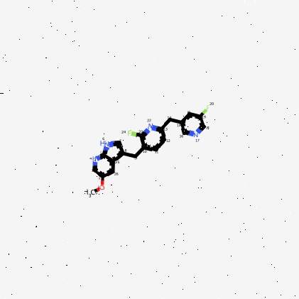 COc1cnc2[nH]cc(Cc3ccc([CH]c4cncc(F)c4)nc3F)c2c1